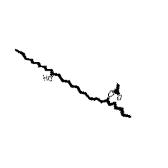 CCCCCCCCCCC(O)CCCCCCCC=CCC(CCCCCC)OC(C)=O